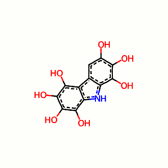 Oc1cc2c([nH]c3c(O)c(O)c(O)c(O)c32)c(O)c1O